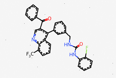 O=C(NCc1cccc(-c2c(C(=O)c3ccccc3)cnc3c(C(F)(F)F)cccc23)c1)Nc1ccccc1F